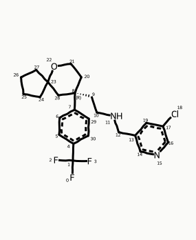 FC(F)(F)c1ccc([C@]2(CCNCc3cncc(Cl)c3)CCOC3(CCCC3)C2)cc1